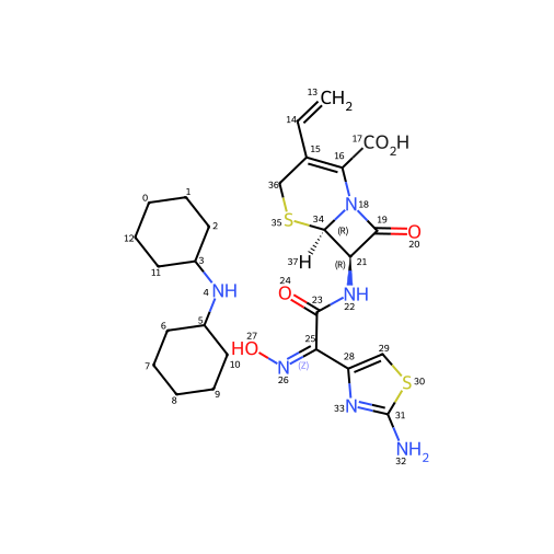 C1CCC(NC2CCCCC2)CC1.C=CC1=C(C(=O)O)N2C(=O)[C@@H](NC(=O)/C(=N\O)c3csc(N)n3)[C@H]2SC1